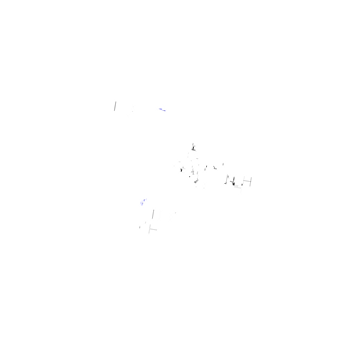 CCCC/C=C\CCCCCCCC(=O)OCC(COC(=O)CCCCCCC)(COC(=O)CCCCCCC/C=C\CCCC)COC(=O)CCN(C)C